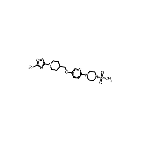 CC(C)c1nc(N2CCC(COc3ccc(N4CCN(S(C)(=O)=O)CC4)nc3)CC2)no1